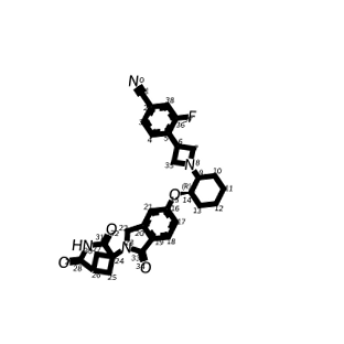 N#Cc1ccc(C2CN(C3CCCC[C@H]3Oc3ccc4c(c3)CN(C35CC(C3)C(=O)NC5=O)C4=O)C2)c(F)c1